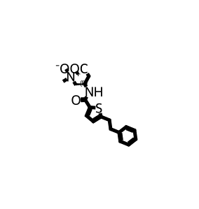 C[N+](C)(C)C[C@@H](CC(=O)[O-])NC(=O)c1ccc(CCc2ccccc2)s1